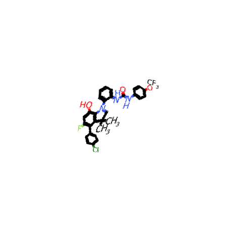 CC1(C)CN(c2ccccc2NC(=O)Nc2ccc(OC(F)(F)F)cc2)c2c(O)cc(F)c(-c3ccc(Cl)cc3)c21